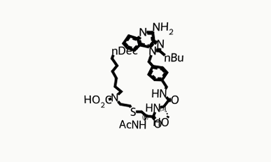 CCCCCCCCCCCCCCCCN(CCSC[C@H](NC(C)=O)C(=O)N[C@@H](CO)C(=O)NCc1ccc(Cn2c(CCCC)nc3c(N)nc4ccccc4c32)cc1)C(=O)O